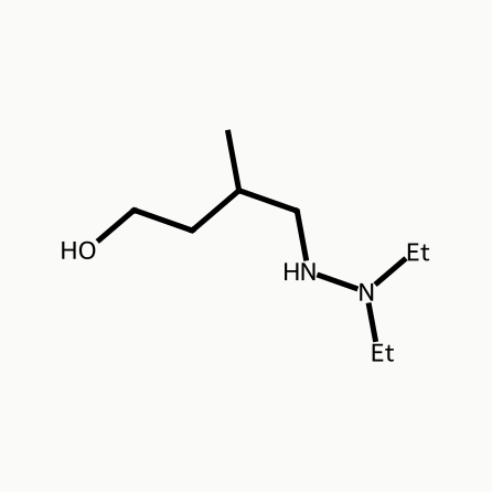 CCN(CC)NCC(C)CCO